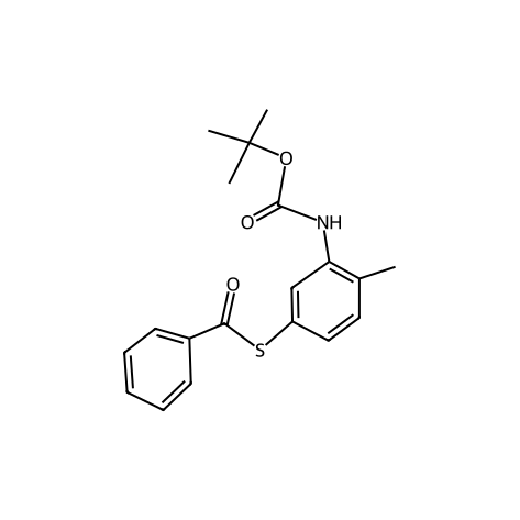 Cc1ccc(SC(=O)c2ccccc2)cc1NC(=O)OC(C)(C)C